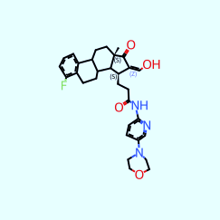 C[C@]12CCC3c4cccc(F)c4CCC3C1[C@H](CCC(=O)Nc1ccc(N3CCOCC3)cn1)/C(=C/O)C2=O